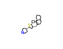 Cc1sc(-c2ccncc2)cc1Cc1ccc2ccccc2c1